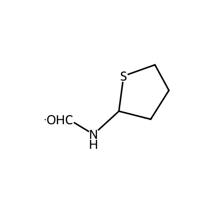 O=[C]NC1CCCS1